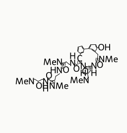 CNCCC[C@@H]1NC(=O)[C@@H](NC)Cc2cc(ccc2O)-c2cccc(c2)C[C@@H](C(=O)NCC[C@H](NC)C(=O)NCCC[C@H](NC)C(=O)NCC(O)CNC)NC1=O